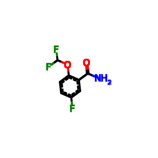 NC(=O)c1cc(F)ccc1OC(F)F